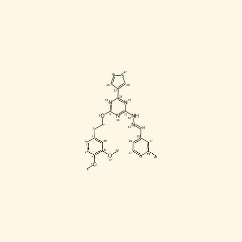 COc1ccc(CCOc2nc(NN=Cc3cccc(C)c3)nc(-c3ccsc3)n2)cc1OC